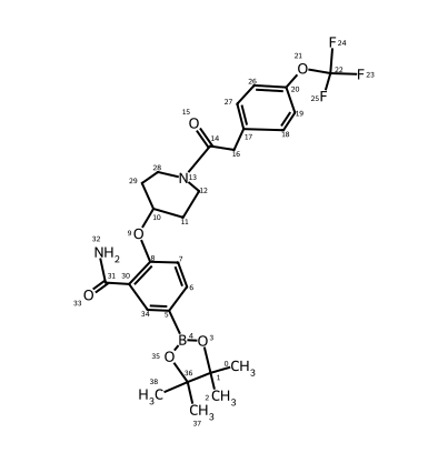 CC1(C)OB(c2ccc(OC3CCN(C(=O)Cc4ccc(OC(F)(F)F)cc4)CC3)c(C(N)=O)c2)OC1(C)C